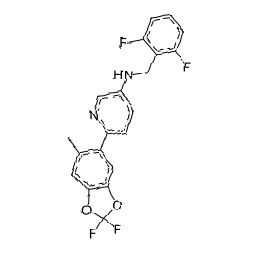 Cc1cc2c(cc1-c1ccc(NCc3c(F)cccc3F)cn1)OC(F)(F)O2